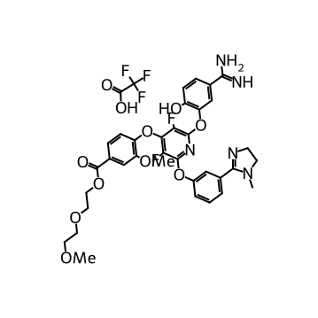 COCCOCCOC(=O)c1ccc(Oc2c(F)c(Oc3cccc(C4=NCCN4C)c3)nc(Oc3cc(C(=N)N)ccc3O)c2F)c(OC)c1.O=C(O)C(F)(F)F